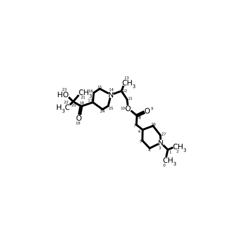 CC(C)N1CCC(CC(=O)OCC(C)N2CCC(C(=O)C(C)(C)O)CC2)CC1